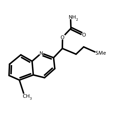 CSCCC(OC(N)=O)c1ccc2c(C)cccc2n1